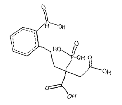 O=C(O)CC(CCc1ccccc1[PH](=O)O)(C(=O)O)P(=O)(O)O